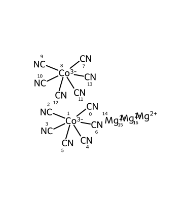 N#[C][Co-3]([C]#N)([C]#N)([C]#N)([C]#N)[C]#N.N#[C][Co-3]([C]#N)([C]#N)([C]#N)([C]#N)[C]#N.[Mg+2].[Mg+2].[Mg+2]